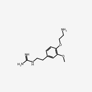 COc1cc(CCNC(=N)N)ccc1OCCN